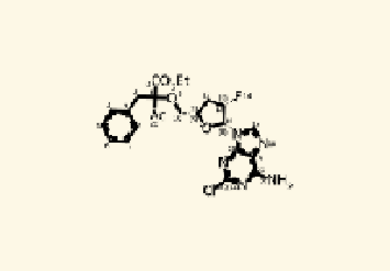 CCOC(=O)C(Cc1ccccc1)(OC[C@@H]1C[C@H](F)[C@H](n2cnc3c(N)nc(Cl)nc32)O1)C(C)=O